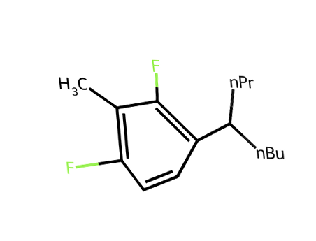 CCCCC(CCC)c1ccc(F)c(C)c1F